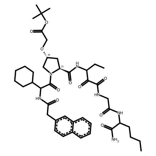 CCCCC(NC(=O)CNC(=O)C(=O)C(CC)NC(=O)[C@@H]1C[C@@H](OCC(=O)OC(C)(C)C)CN1C(=O)C(NC(=O)Cc1ccc2ccccc2c1)C1CCCCC1)C(N)=O